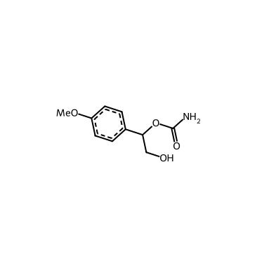 COc1ccc(C(CO)OC(N)=O)cc1